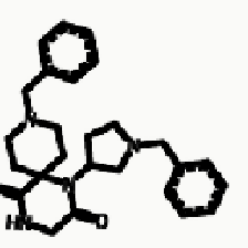 O=C1CNC(=O)C2(CCN(Cc3ccccc3)CC2)N1C1CCN(Cc2ccccc2)C1